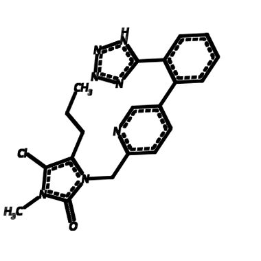 CCCc1c(Cl)n(C)c(=O)n1Cc1ccc(-c2ccccc2-c2nnn[nH]2)cn1